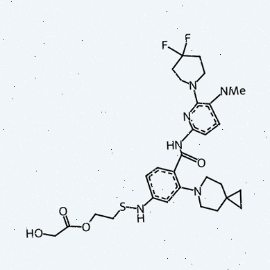 CNc1ccc(NC(=O)c2ccc(NSCCOC(=O)CO)cc2N2CCC3(CC2)CC3)nc1N1CCC(F)(F)CC1